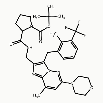 Cc1c(Cc2c(CNC(=O)C3CCCN3C(=O)OC(C)(C)C)nc3c(C)cc(N4CCOCC4)nn23)cccc1C(F)(F)F